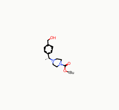 C[C@H](c1ccc(CO)cc1)N1CCN(C(=O)OC(C)(C)C)CC1